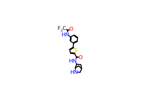 O=C(NC1CC2CNC1C2)c1ccc(-c2cccc(NC(=O)C(F)(F)F)c2)s1